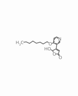 CCCCCCCCOc1ccncc1C1=CC(=O)OC1O